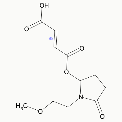 COCCN1C(=O)CCC1OC(=O)/C=C/C(=O)O